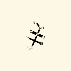 CCNS(=O)(=O)C(CC)(CC)C(F)(F)F